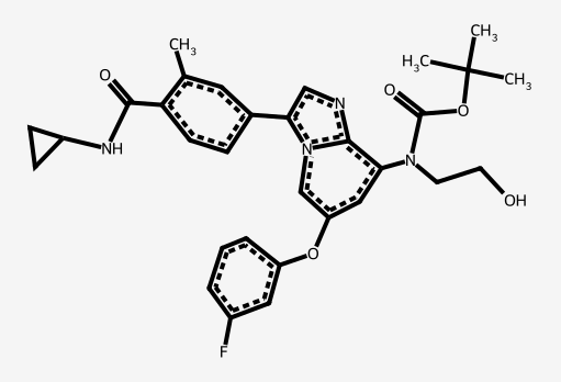 Cc1cc(-c2cnc3c(N(CCO)C(=O)OC(C)(C)C)cc(Oc4cccc(F)c4)cn23)ccc1C(=O)NC1CC1